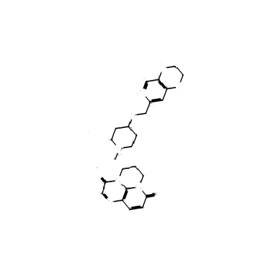 Cl.Cl.O=c1ccc2ncc(=O)n3c2n1CC[C@H]3CN1CCC(NCc2cc3c(cn2)OCCS3)CC1